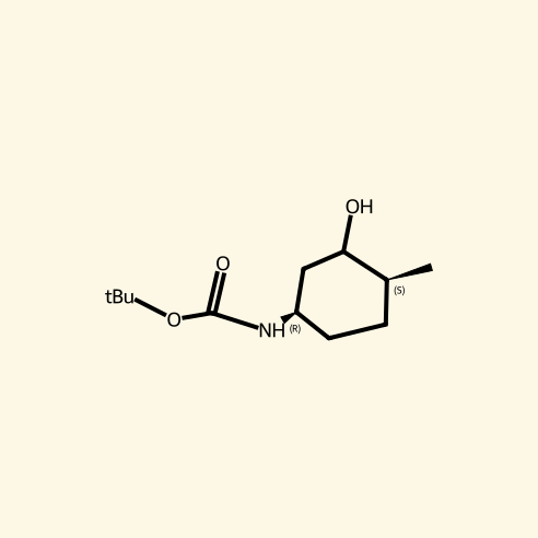 C[C@H]1CC[C@@H](NC(=O)OC(C)(C)C)CC1O